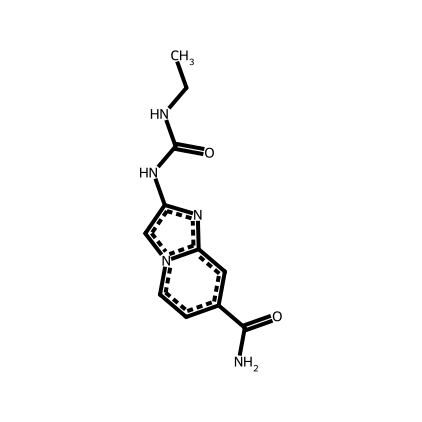 CCNC(=O)Nc1cn2ccc(C(N)=O)cc2n1